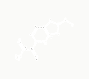 CCC1Cc2ccc(C(=O)C(=O)O)cc2C1